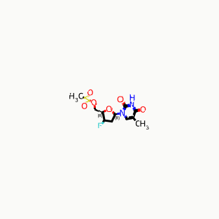 Cc1cn([C@H]2CC(F)[C@@H](COS(C)(=O)=O)O2)c(=O)[nH]c1=O